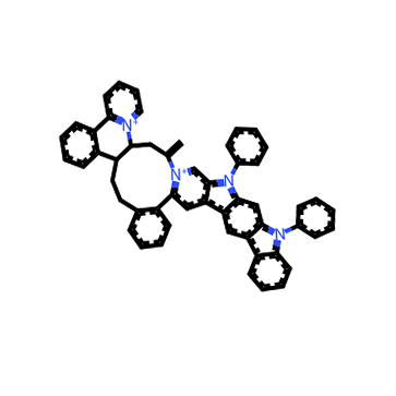 C=C1CC2C(CCc3ccccc3-c3cc4c5cc6c7ccccc7n(-c7ccccc7)c6cc5n(-c5ccccc5)c4c[n+]31)c1ccccc1-c1cccc[n+]12